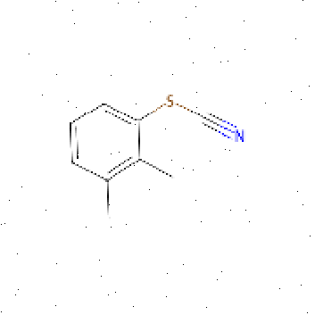 Cc1cccc(SC#N)c1C